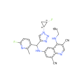 Cc1nc(F)ccc1C(Nc1cc(C#N)c2ncc(C#N)c(NCC(C)(C)C)c2c1)c1cn([C@@H]2C[C@@H]2F)nn1